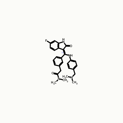 CN(C)Cc1ccc(N/C(=C2\C(=O)Nc3cc(F)ccc32)c2cccc(CC(=O)N(C)C)c2)cc1